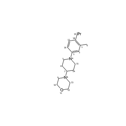 Cc1cc(N2CCC(N3CCOCC3)CC2)ccc1C(C)C